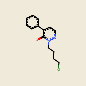 O=c1c(-c2ccccc2)ccnn1CCCCCl